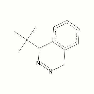 CC(C)(C)C1N=NCc2ccccc21